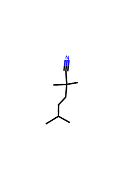 CC(C)CCC(C)(C)C#N